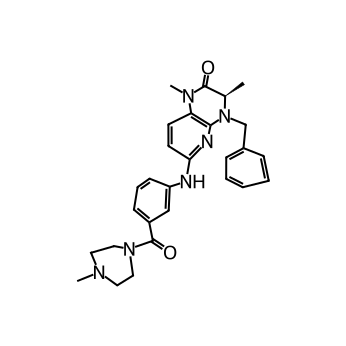 C[C@@H]1C(=O)N(C)c2ccc(Nc3cccc(C(=O)N4CCN(C)CC4)c3)nc2N1Cc1ccccc1